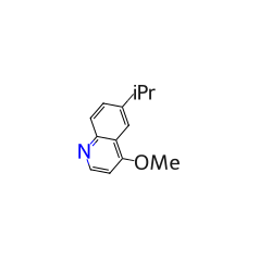 COc1ccnc2ccc(C(C)C)cc12